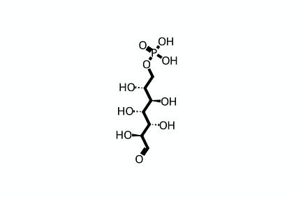 O=C[C@@H](O)[C@@H](O)[C@H](O)[C@H](O)[C@H](O)COP(=O)(O)O